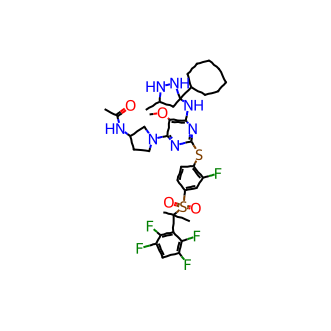 COc1c(NC2(C3CCCCCCC3)CC(C)NN2)nc(Sc2ccc(S(=O)(=O)C(C)(C)c3c(F)c(F)cc(F)c3F)cc2F)nc1N1CCC(NC(C)=O)C1